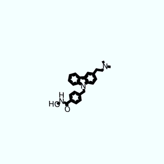 CN(C)CCc1ccc2c(c1)c1ccccc1n2Cc1ccc(C(=O)NO)cc1